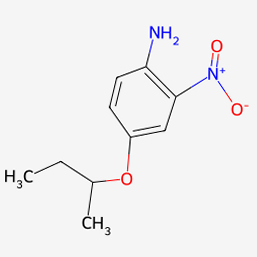 CCC(C)Oc1ccc(N)c([N+](=O)[O-])c1